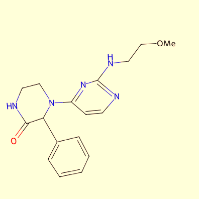 COCCNc1nccc(N2CCNC(=O)C2c2ccccc2)n1